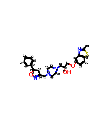 Cc1nc2cc(OC[C@H](O)CN3CCN(CC4=NOC(c5ccccc5)C4)CC3)ccc2s1